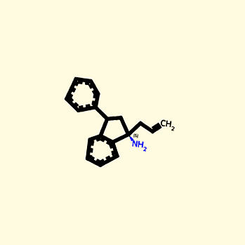 C=CC[C@]1(N)CC(c2ccccc2)c2ccccc21